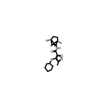 Cc1noc(C(=O)NC2C[C@@H]3CC[C@@]2(C)C3(C)C)c1SC1CCCCC1